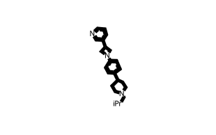 CC(C)CN1CCC(c2ccc(N3CC(c4cccnc4)C3)cc2)CC1